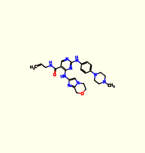 C=CCNC(=O)c1cnc(Nc2ccc(N3CCN(C)CC3)cc2)nc1Nc1cn2c(n1)COCC2